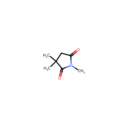 CN1C(=O)CC(C)(C)C1=O